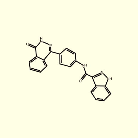 O=C(Nc1ccc(-c2n[nH]c(=O)c3ccccc23)cc1)c1n[nH]c2ccccc12